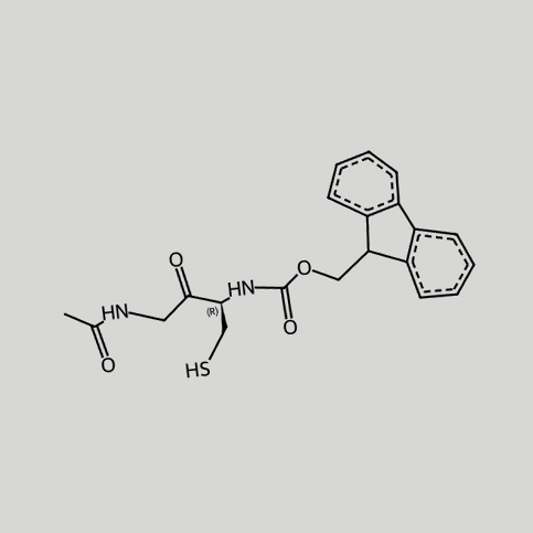 CC(=O)NCC(=O)[C@H](CS)NC(=O)OCC1c2ccccc2-c2ccccc21